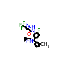 Cc1cccc(C(NCC2CC2)c2ccc(F)c(NC(=O)c3cc(C(F)(F)F)n[nH]3)c2)c1